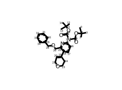 CC(C)(C)OC(=O)N(C(=O)OC(C)(C)C)c1ccc(C2=CCOCC2)c(COCc2ccccc2)n1